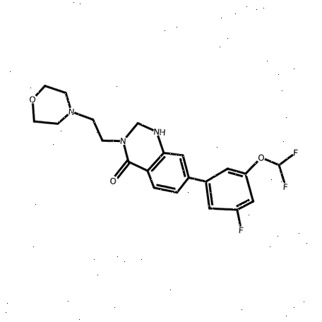 O=C1c2ccc(-c3cc(F)cc(OC(F)F)c3)cc2NCN1CCN1CCOCC1